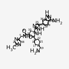 Cc1cnc(CNC(=O)CC[C@H](NC(=O)C2CCC(CN)CC2)c2ncc(-c3ccc4c(N)n[nH]c4c3)[nH]2)cn1